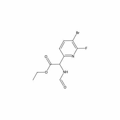 CCOC(=O)C(NC=O)c1ccc(Br)c(F)n1